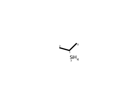 CCC.[SiH4]